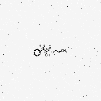 C=CCO[14C](=O)[C@H](O)[C@H](N)c1ccccc1